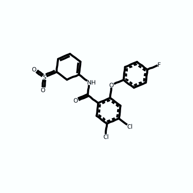 O=C(NC1=CC=CC(=S(=O)=O)C1)c1cc(Cl)c(Cl)cc1Oc1ccc(F)cc1